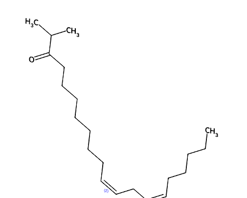 CCCCC/C=C\C/C=C\CCCCCCCC(=O)C(C)C